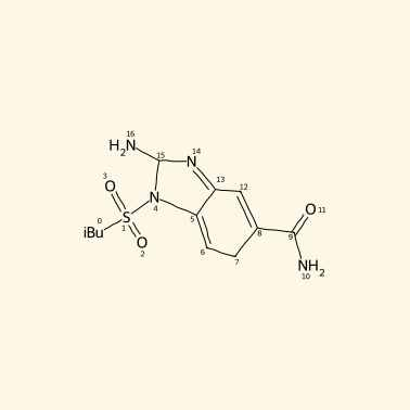 CCC(C)S(=O)(=O)N1C2=CCC(C(N)=O)=CC2=NC1N